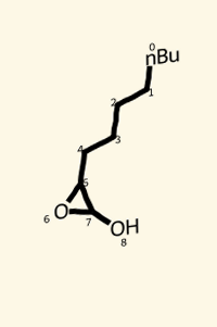 CCCCCCCCC1OC1O